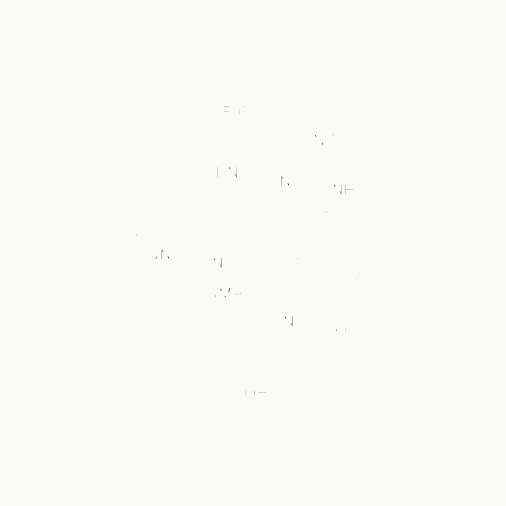 CSN(C)c1ncccc1CNc1nc(Nc2ccc(C(=O)N3CCCC(O)C3)cc2)ncc1C(F)(F)F